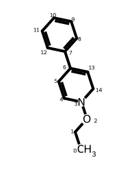 CCON1C=CC(c2ccccc2)=CC1